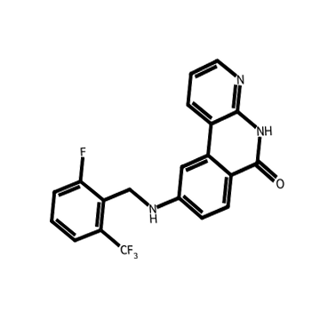 O=c1[nH]c2ncccc2c2cc(NCc3c(F)cccc3C(F)(F)F)ccc12